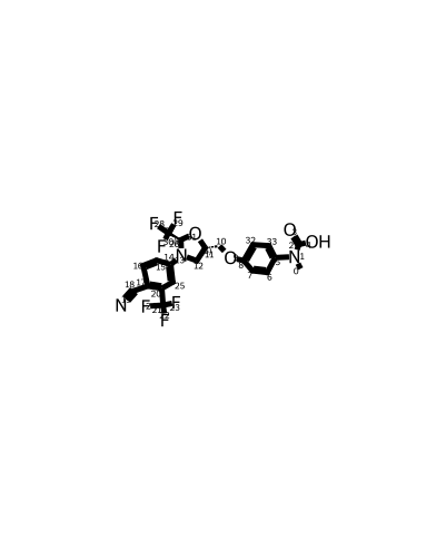 CN(C(=O)O)c1ccc(OC[C@@H]2CN(c3ccc(C#N)c(C(F)(F)F)c3)[C@@H](C(F)(F)F)O2)cc1